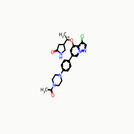 CC(=O)N1CCN(c2ccc(-c3cc(O[C@H](C)C4CNC(=O)C4)c4c(Cl)cnn4c3)cc2)CC1